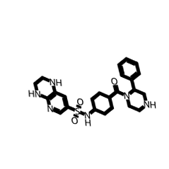 O=C(C1CCC(NS(=O)(=O)c2cnc3c(c2)NCCN3)CC1)N1CCNCC1c1ccccc1